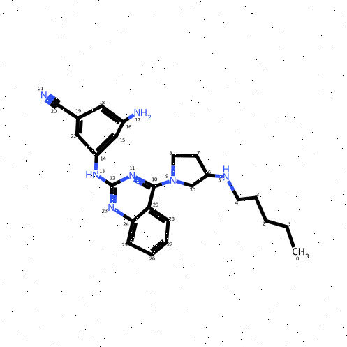 CCCCCNC1CCN(c2nc(Nc3cc(N)cc(C#N)c3)nc3ccccc23)C1